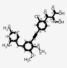 COc1cc(Cc2cnc(N)nc2N)cc(C#Cc2ccc(C(=O)C(=NO)C(=O)O)c(Cl)c2)c1OC